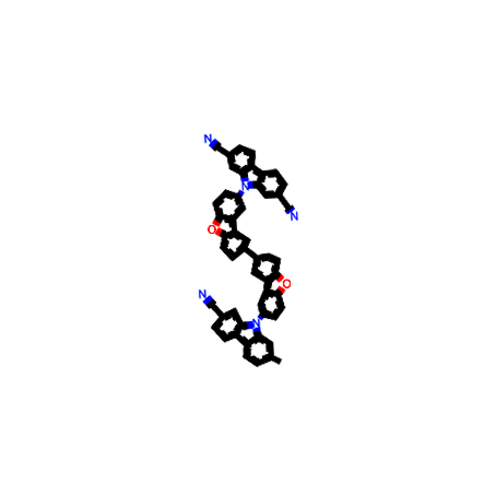 Cc1ccc2c3ccc(C#N)cc3n(-c3ccc4oc5ccc(-c6ccc7oc8ccc(-n9c%10cc(C#N)ccc%10c%10ccc(C#N)cc%109)cc8c7c6)cc5c4c3)c2c1